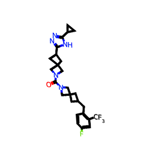 O=C(N1CC2(CC(Cc3ccc(F)cc3C(F)(F)F)C2)C1)N1CC2(CC(c3nnc(C4CC4)[nH]3)C2)C1